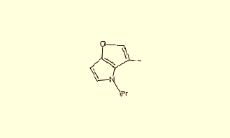 Cc1coc2ccn(C(C)C)c12